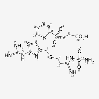 N=C(N)Nc1nc(CSCCC(=N)NS(N)(=O)=O)cs1.O=C(O)CCS(=O)(=O)c1ccccc1